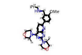 COc1ccc(-c2ccc3c(N4CCOC[C@@H]4C)nc(N4CCOC[C@@H]4C)nc3n2)cc1CNCC(C)C